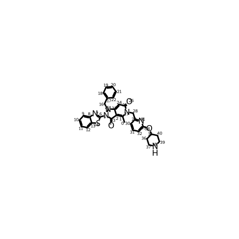 Cc1c2c(=O)n(-c3nc4ccccc4s3)n(Cc3ccccc3)c2cc(=O)n1Cc1cccc(OC2CCNCC2)n1